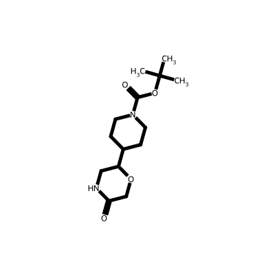 CC(C)(C)OC(=O)N1CCC(C2CNC(=O)CO2)CC1